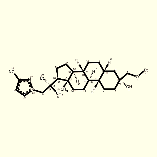 CCOC[C@@]1(O)CC[C@H]2[C@H](CC[C@@H]3[C@@H]2CC[C@]2(C)[C@@H]([C@](C)(CC)Cn4ccc(C#N)n4)CC[C@@H]32)C1